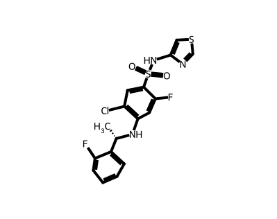 C[C@H](Nc1cc(F)c(S(=O)(=O)Nc2cscn2)cc1Cl)c1ccccc1F